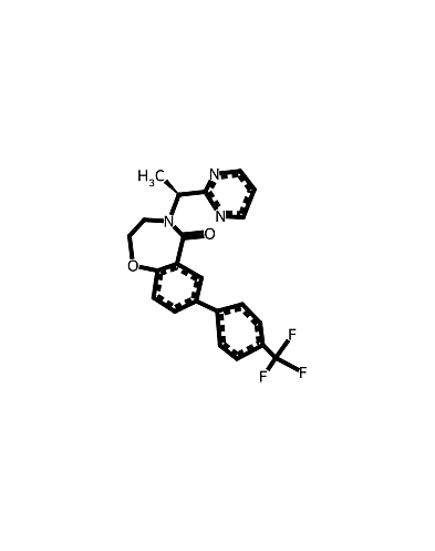 C[C@@H](c1ncccn1)N1CCOc2ccc(-c3ccc(C(F)(F)F)cc3)cc2C1=O